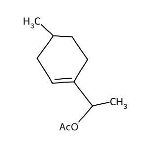 CC(=O)OC(C)C1=CCC(C)CC1